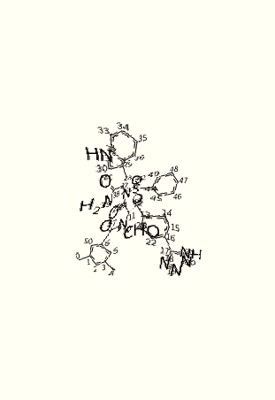 Cc1cc(C)cc(C(=O)N(C=O)[C@@H](Cc2ccc(-c3nnn[nH]3)cc2)C(=O)N([C@@H](Cc2c[nH]c3ccccc23)C(N)=O)S(=O)(=O)c2ccccc2)c1